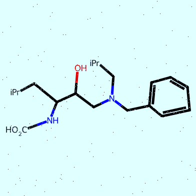 CC(C)CC(NC(=O)O)C(O)CN(Cc1ccccc1)CC(C)C